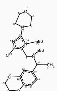 CCCCN(Cc1c(Cl)nc(N2CCOCC2)n1CCCC)C(C)c1ccc2c(c1)OCCO2